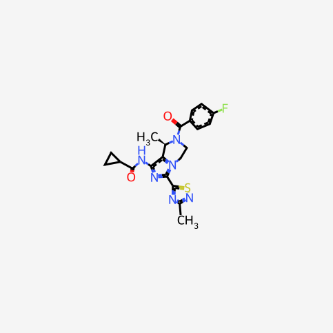 Cc1nsc(-c2nc(NC(=O)C3CC3)c3n2CCN(C(=O)c2ccc(F)cc2)[C@@H]3C)n1